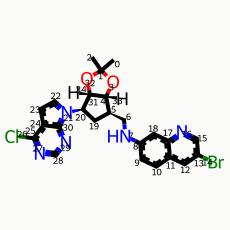 CC1(C)O[C@@H]2[C@@H](CNc3ccc4cc(Br)cnc4c3)C[C@@H](n3ccc4c(Cl)ncnc43)[C@@H]2O1